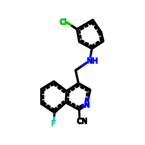 N#Cc1ncc(CNc2cccc(Cl)c2)c2cccc(F)c12